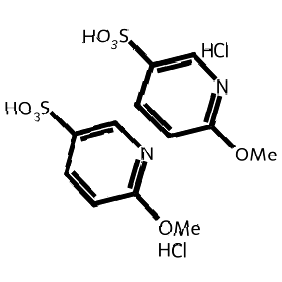 COc1ccc(S(=O)(=O)O)cn1.COc1ccc(S(=O)(=O)O)cn1.Cl.Cl